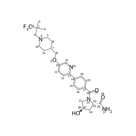 CC(C)(CN1CCC(COc2ccc(-c3ccc(C(=O)N4C[C@H](O)C[C@H]4C(N)=O)cc3)nc2)CC1)C(F)(F)F